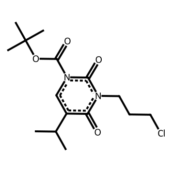 CC(C)c1cn(C(=O)OC(C)(C)C)c(=O)n(CCCCl)c1=O